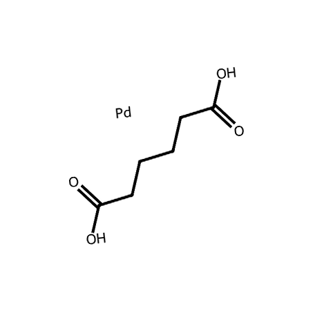 O=C(O)CCCCC(=O)O.[Pd]